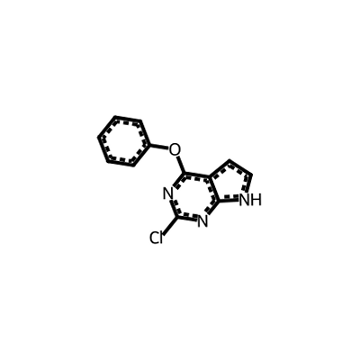 Clc1nc(Oc2ccccc2)c2cc[nH]c2n1